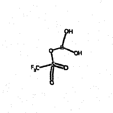 O=S(=O)(OB(O)O)C(F)(F)F